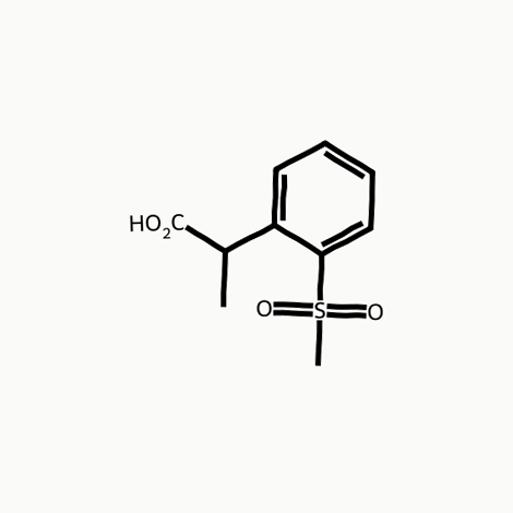 CC(C(=O)O)c1ccccc1S(C)(=O)=O